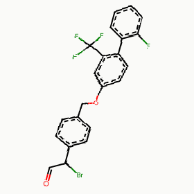 O=CC(Br)c1ccc(COc2ccc(-c3ccccc3F)c(C(F)(F)F)c2)cc1